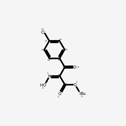 CC(C)(C)OC(=O)C(=NO)C(=O)c1ccc(Cl)cc1